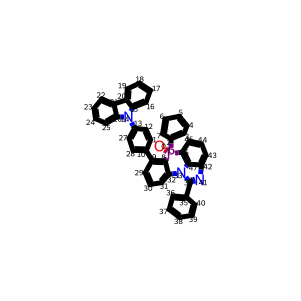 O=P1(c2ccccc2)c2c(-c3ccc(-n4c5ccccc5c5ccccc54)cc3)cccc2-n2c(-c3ccccc3)nc3cccc1c32